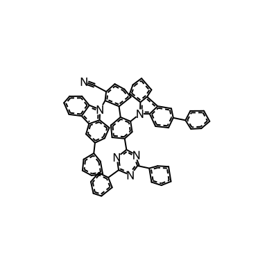 N#Cc1cccc(-c2ccc(-c3nc(-c4ccccc4)nc(-c4ccccc4)n3)cc2-n2c3ccccc3c3cc(-c4ccccc4)ccc32)c1-n1c2ccccc2c2cc(-c3ccccc3)ccc21